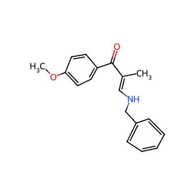 COc1ccc(C(=O)C(C)=CNCc2ccccc2)cc1